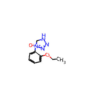 CCOc1ccccc1[N+]1([O-])CNN=N1